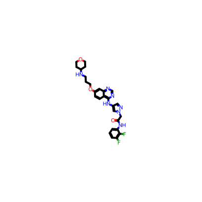 O=C(Cn1cc(Nc2ncnc3cc(OCCCNC4CCOCC4)ccc23)cn1)Nc1cccc(F)c1F